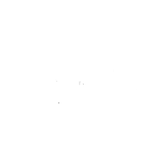 CC(NCc1ccc2ccccc2c1Br)C(O)c1ccccc1.Cl